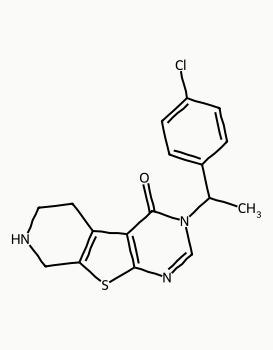 CC(c1ccc(Cl)cc1)n1cnc2sc3c(c2c1=O)CCNC3